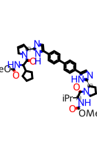 COC(=O)NC(C(=O)N1CC=C[C@H]1c1ncc(-c2ccc(-c3ccc(-c4cnc([C@@H]5CCCN5C(=O)[C@@H](NC(=O)OC)C(C)C)[nH]4)cc3)cc2)[nH]1)C1CCCC1